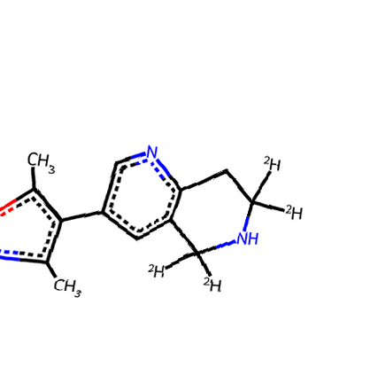 [2H]C1([2H])Cc2ncc(-c3c(C)noc3C)cc2C([2H])([2H])N1